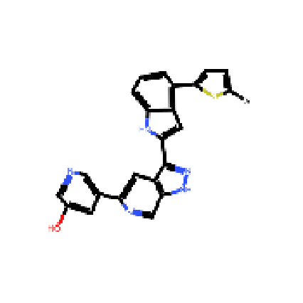 CC(=O)c1ccc(-c2cccc3[nH]c(-c4n[nH]c5cnc(-c6cncc(O)c6)cc45)cc23)s1